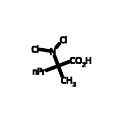 CCCC(C)(C(=O)O)N(Cl)Cl